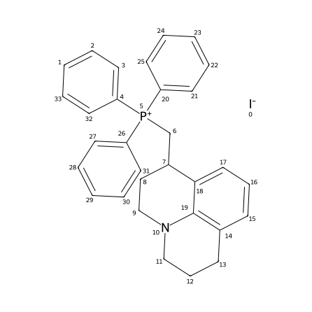 [I-].c1ccc([P+](CC2CCN3CCCc4cccc2c43)(c2ccccc2)c2ccccc2)cc1